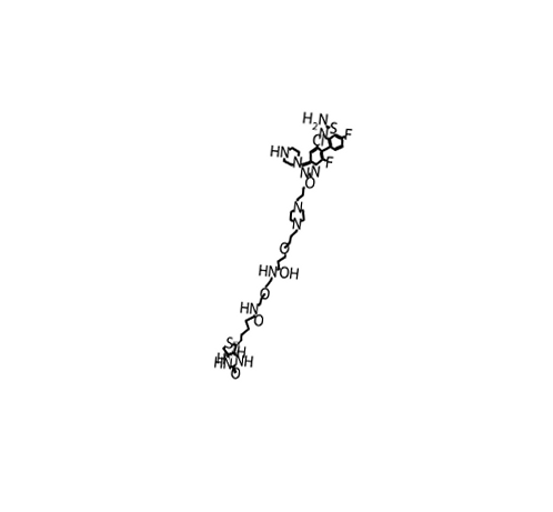 Nc1nc2c(-c3c(Cl)cc4c(N5CCNCC5)nc(OCCCN5CCN(CCCOCCC(O)NCCOCCNC(=O)CCCC[C@@H]6SC[C@@H]7NC(=O)N[C@@H]76)CC5)nc4c3F)ccc(F)c2s1